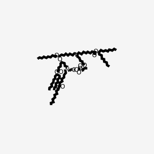 CCCCCCCCCOC(=O)CCCCCCCN(CCCCCCCC(=O)OC(CCCCCCCC)CCCCCCCC)CCCCC(=O)OC(C)C(C)OC(=O)CCCCN(CCCCCCCC(=O)OCCCCCCCCC)CCCCCCCC(=O)OC(CCCCCCCC)CCCCCCCC